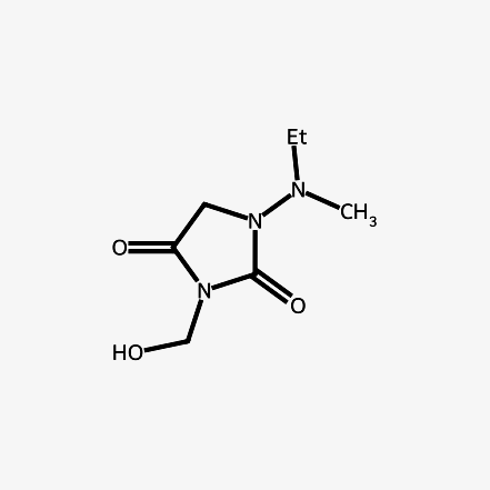 CCN(C)N1CC(=O)N(CO)C1=O